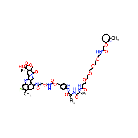 CC[C@@]1(O)C(=O)OCc2c1cc1n(c2=O)Cc2c-1nc1cc(F)c(C)c3c1c2[C@@H](NC(=O)COCNC(=O)OCc1ccc(NC(=O)[C@H](C)NC(=O)[C@@H](NC(=O)CCOCCOCCOCCOCCNC(=O)COC2/C=C(/C)CCCCC2)C(C)C)cc1)CC3